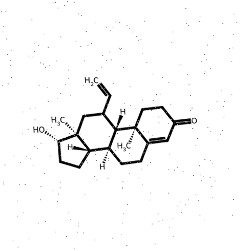 C=CC1C[C@]2(C)[C@@H](O)CC[C@H]2[C@@H]2CCC3=CC(=O)CC[C@]3(C)[C@@H]12